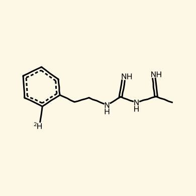 [2H]c1ccccc1CCNC(=N)NC(C)=N